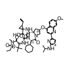 C=CC1C[C@]1(NC(=O)[C@@H]1C[C@@H](Oc2cc(-c3csc(NC(C)C)n3)nc3cc(OC)ccc23)CN1C(=O)[C@@H](NC(=O)N[C@H](C(=O)N(C)S(=O)(=O)CC)C(C)(C)C)C1CCCCC1)C(=O)O